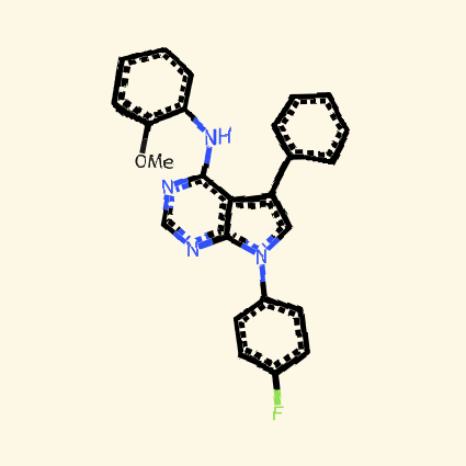 COc1ccccc1Nc1ncnc2c1c(-c1ccccc1)cn2-c1ccc(F)cc1